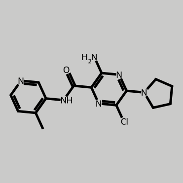 Cc1ccncc1NC(=O)c1nc(Cl)c(N2CCCC2)nc1N